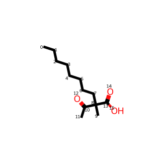 CCCCCCCCC(C)(C(C)=O)C(=O)O